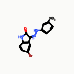 O=C1Nc2ccc(Br)cc2/C1=N/Nc1cccc([N+](=O)[O-])c1